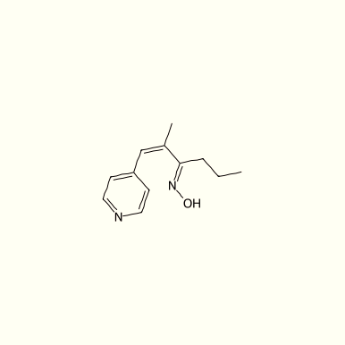 CCCC(=NO)C(C)=Cc1ccncc1